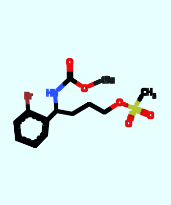 CC(C)(C)OC(=O)NC(CCCOS(C)(=O)=O)c1ccccc1Br